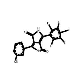 N#Cc1cccc(C2=C3C(=O)NC(c4c(F)c(F)c(F)c(F)c4F)=C3C(=O)N2)c1